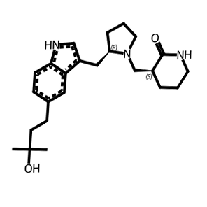 CC(C)(O)CCc1ccc2[nH]cc(C[C@H]3CCCN3C[C@@H]3CCCNC3=O)c2c1